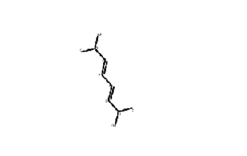 CC(C)C=CC=CC(C)C